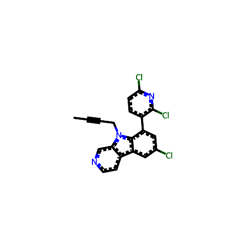 CC#CCn1c2cnccc2c2cc(Cl)cc(-c3ccc(Cl)nc3Cl)c21